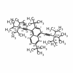 CC(C)[Si](C#Cc1cc(C(C)(C)C)c(C#C[Si](C(C)C)(C(C)C)C(C)C)c2ccc(C(C)(C)C)cc12)(C(C)C)C(C)C